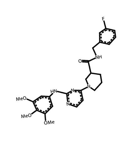 COc1cc(Nc2nccc(N3CCCC(C(=O)NCc4cccc(F)c4)C3)n2)cc(OC)c1OC